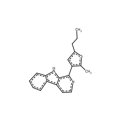 CCCc1cc(-c2nccc3c2[nH]c2ccccc23)c(C)s1